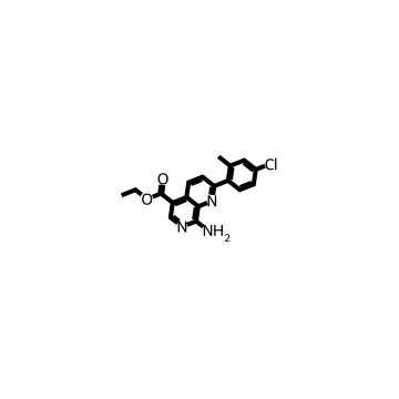 CCOC(=O)c1cnc(N)c2nc(-c3ccc(Cl)cc3C)ccc12